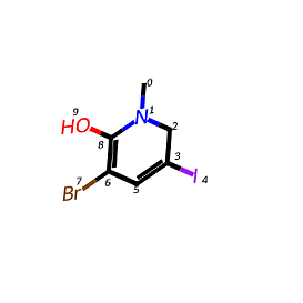 CN1CC(I)=CC(Br)=C1O